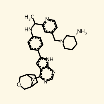 CC(Nc1ccc(-c2cc3c(N4C5CCC4COC5)ncnc3[nH]2)cc1)c1cc(CN2CCC[C@@H](N)C2)ccn1